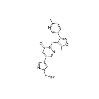 Cc1ccc(-c2noc(C)c2Cn2ncc(-c3cnn(CC(C)C)c3)cc2=O)cn1